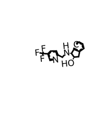 O[C@@H]1Cc2ccccc2[C@H]1NCc1ccc(C(F)(F)F)cn1